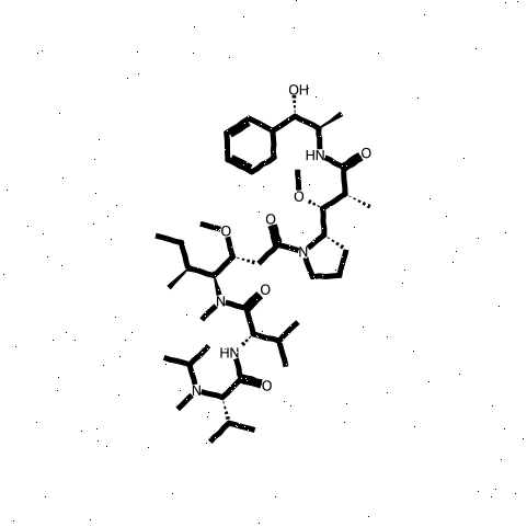 CC[C@H](C)[C@@H]([C@@H](CC(=O)N1CCC[C@H]1[C@H](OC)[C@@H](C)C(=O)N[C@H](C)[C@@H](O)C1C=CC=CC1)OC)N(C)C(=O)[C@@H](NC(=O)[C@H](C(C)C)N(C)C(C)C)C(C)C